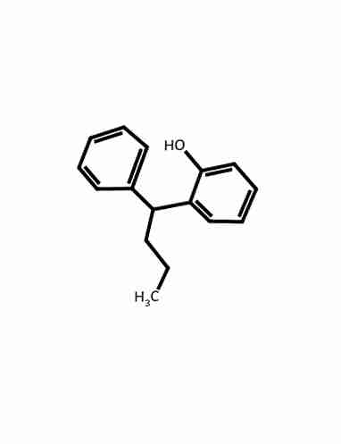 CCCC(c1ccccc1)c1ccccc1O